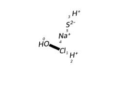 OCl.[H+].[H+].[Na+].[S-2]